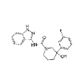 O=C(Nc1n[nH]c2ccccc12)N1CCCC(O)(c2cccc(F)c2)C1